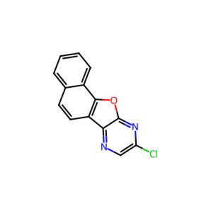 Clc1cnc2c(n1)oc1c3ccccc3ccc21